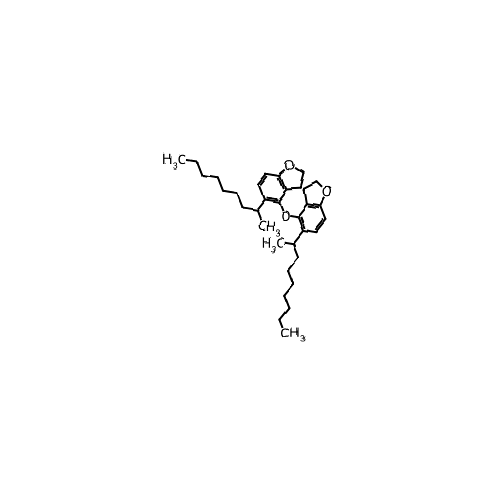 CCCCCCCC(C)c1ccc2c(c1Oc1c(C(C)CCCCCCC)ccc3c1CCO3)CCO2